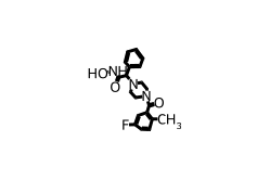 Cc1ccc(F)cc1C(=O)N1CCN(C(C(=O)NO)c2ccccc2)CC1